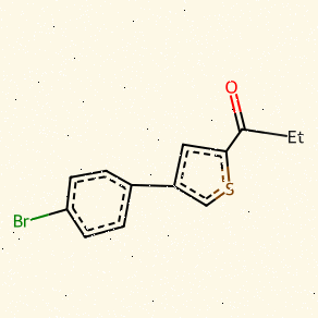 CCC(=O)c1cc(-c2ccc(Br)cc2)cs1